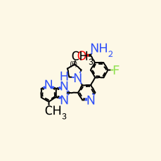 Cc1ccnc2[nH]c(-c3cncc(-c4cc(F)cc(C(N)=O)c4)c3N3CC[C@@H](C)C3)nc12